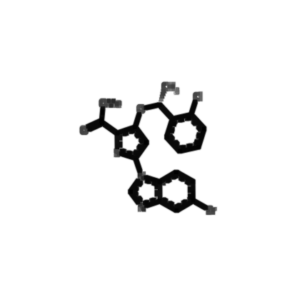 COC(=O)c1sc(-n2cnc3cc(Br)ccc32)cc1O[C@H](C)c1ccccc1Cl